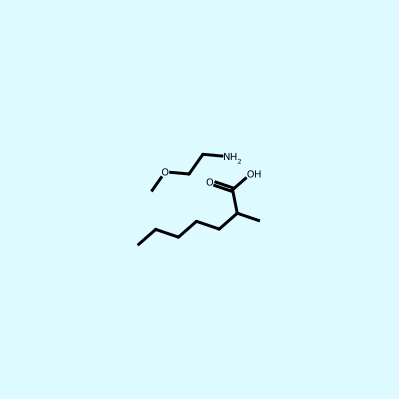 CCCCCC(C)C(=O)O.COCCN